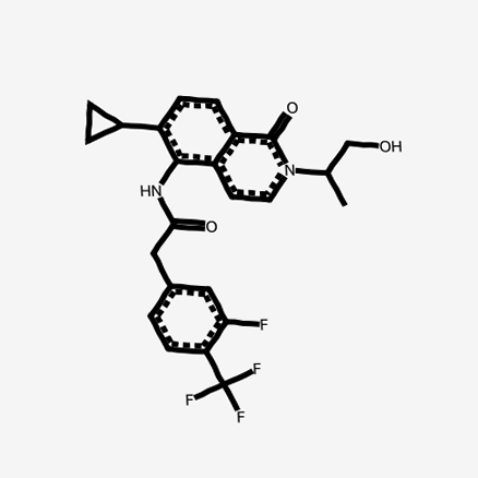 CC(CO)n1ccc2c(NC(=O)Cc3ccc(C(F)(F)F)c(F)c3)c(C3CC3)ccc2c1=O